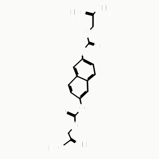 C=C(C)COC(=O)Oc1ccc2cc(OC(=O)OCC(=C)C)ccc2c1